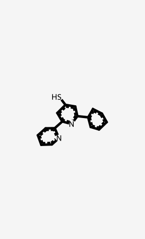 Sc1cc(-c2ccccc2)nc(-c2ccccn2)c1